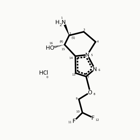 Cl.N[C@H]1CCn2nc(OCC(F)F)cc2[C@@H]1O